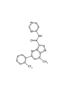 Cc1cc(-c2ccccc2C(F)(F)F)nn2c(C(=O)Nc3ccncn3)cnc12